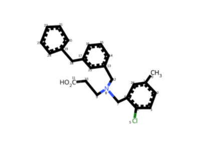 Cc1ccc(Cl)c(CN(CCC(=O)O)Cc2cccc(Cc3ccccc3)c2)c1